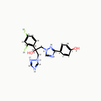 Oc1ccc(-c2ncn(CC(O)(Cn3cncn3)c3ccc(F)cc3F)n2)cc1